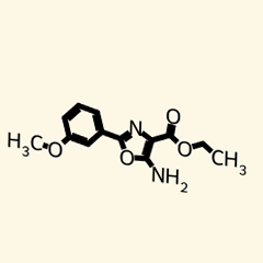 CCOC(=O)c1nc(-c2cccc(OC)c2)oc1N